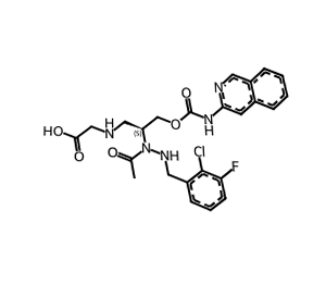 CC(=O)N(NCc1cccc(F)c1Cl)[C@@H](CNCC(=O)O)COC(=O)Nc1cc2ccccc2cn1